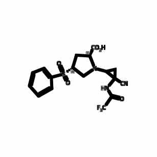 N#CC1(NC(=O)C(F)(F)F)CC1N1C[C@H](S(=O)(=O)c2ccccc2)C[C@H]1C(=O)O